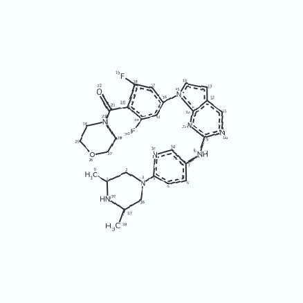 CC1CN(c2ccc(Nc3ncc4ccn(-c5cc(F)c(C(=O)N6CCOCC6)c(F)c5)c4n3)cn2)CC(C)N1